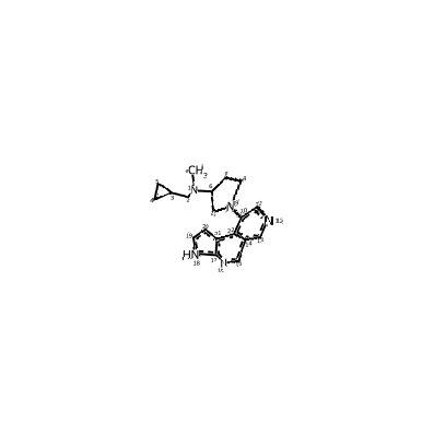 CN(CC1CC1)C1CCN(c2cncc3cnc4[nH]ccc4c23)C1